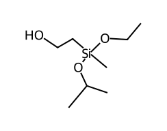 CCO[Si](C)(CCO)OC(C)C